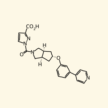 O=C(O)c1ccn(C(=O)N2C[C@H]3C[C@H](Oc4cccc(-c5ccncc5)c4)C[C@H]3C2)n1